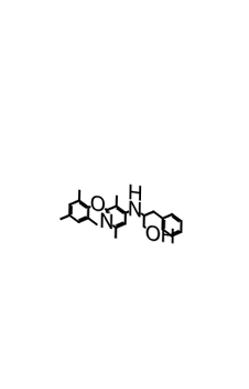 Cc1cc(C)c(Oc2nc(C)cc(NC(CO)Cc3ccccc3)c2C)c(C)c1